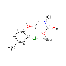 Cc1ccc(OCCN(C)C(=O)OC(C)(C)C)c(Cl)c1